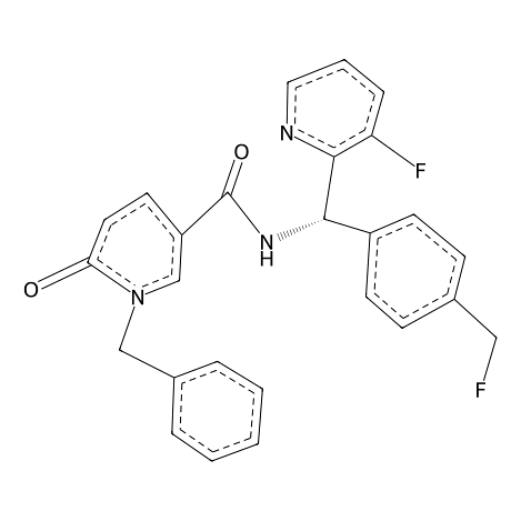 O=C(N[C@@H](c1ccc(CF)cc1)c1ncccc1F)c1ccc(=O)n(Cc2ccccc2)c1